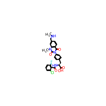 CNCc1ccc2c(=O)n(-c3ccc(C[C@H](NC(=O)c4c(F)cccc4Cl)C(=O)O)cc3)c(=O)n(C)c2c1